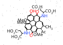 COc1c2c3c4c(c(NC(CC(=O)O)C(=O)O)c(=O)c5c(O)cc(OC)c(c6c(OC)cc(NC(CC(=O)O)C(=O)O)c(c1=O)c63)c54)C=C(C)C2C(C)=O